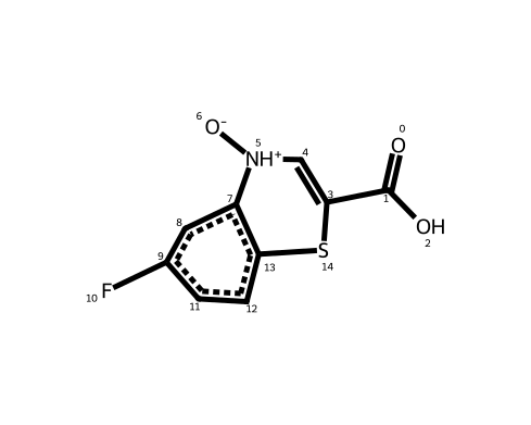 O=C(O)C1=C[NH+]([O-])c2cc(F)ccc2S1